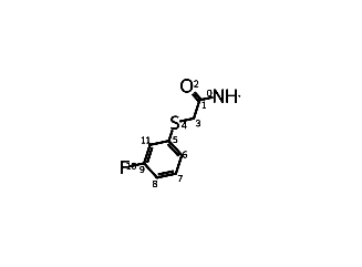 [NH]C(=O)CSc1cccc(F)c1